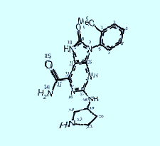 COc1ccccc1-n1c(=O)[nH]c2c(C(N)=O)nc(NC3CCNC3)nc21